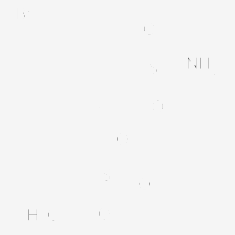 CC1=Cc2cc(Br)cc(S(N)(=O)=O)c2OS1(=O)=O